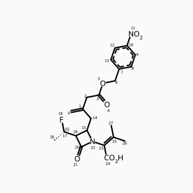 C=C(CC(=O)OCc1ccc([N+](=O)[O-])cc1)CC1C([C@H](C)F)C(=O)N1C(C(=O)O)=C(C)C